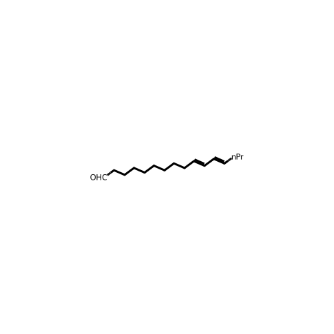 CCCC=C/C=C/CCCCCCCCC=O